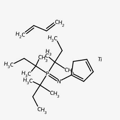 C=CC=C.CCC(C)(C)P(=NC1=CC=CC1)(C(C)(C)CC)C(C)(C)CC.[Ti]